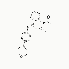 CC(=O)N1c2ccccc2[C@@H](Nc2ccc(N3CCOCC3)cc2)C[C@H]1C